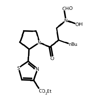 CCCCC(CN(O)C=O)C(=O)N1CCCC1c1nc(C(=O)OCC)cs1